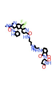 CNC(=O)c1cnc2cc(C(F)(F)F)c(-c3ccc(C(=O)NCCCCn4cc(CNc5cccc6c5C(=O)N(C5CCC(=O)NC5=O)C6=O)nn4)nc3)cc2c1Nc1ccccc1